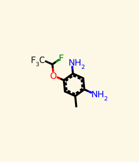 Cc1cc(OC(F)C(F)(F)F)c(N)cc1N